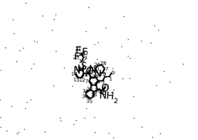 CCCCc1c2c(cc(C(=O)c3cccnc3SCCC(F)(F)F)c1N1CCCCC1N)-c1ccccc1C2C(N)=O